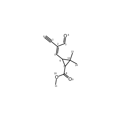 C#CC(C=O)=CC1C(C(=O)OC)C1(C)C